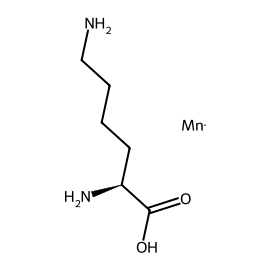 NCCCC[C@H](N)C(=O)O.[Mn]